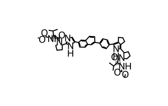 COC(=O)N[C@H](C(=O)N1CCCC1c1ncc(-c2ccc3cc(-c4ccc(-c5[nH]c(C6CCCN6C(=O)[C@@H](NC(=O)OC)C(C)C)c6c5CCC6)cc4)ccc3c2)[nH]1)C(C)C